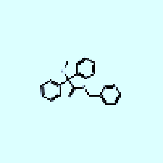 COC(C(=O)OCc1cccnc1)(c1ccccc1)c1ccccc1